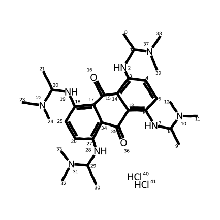 CC(Nc1ccc(NC(C)N(C)C)c2c1C(=O)c1c(NC(C)N(C)C)ccc(NC(C)N(C)C)c1C2=O)N(C)C.Cl.Cl